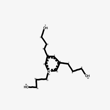 OCCCc1cc(CCCO)c[n+](CCCO)c1